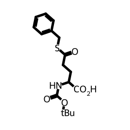 CC(C)(C)OC(=O)NC(CCC(=O)SCc1ccccc1)C(=O)O